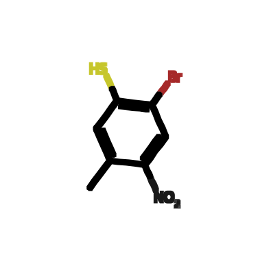 Cc1cc(S)c(Br)cc1[N+](=O)[O-]